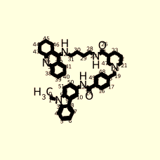 CCn1c2ccccc2c2cc(NC(=O)c3ccc(CN4CCCC(C(=O)NCCCCNc5c6c(nc7ccccc57)CCCC6)C4)cc3)ccc21